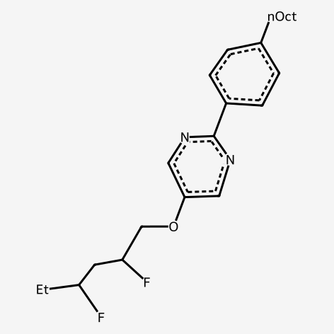 CCCCCCCCc1ccc(-c2ncc(OCC(F)CC(F)CC)cn2)cc1